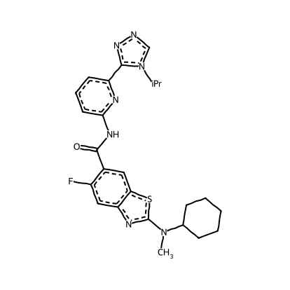 CC(C)n1cnnc1-c1cccc(NC(=O)c2cc3sc(N(C)C4CCCCC4)nc3cc2F)n1